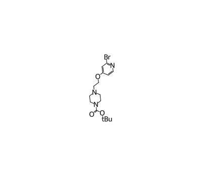 CC(C)(C)OC(=O)N1CCN(CCOc2ccnc(Br)c2)CC1